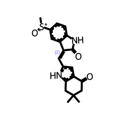 C[S+]([O-])c1ccc2c(c1)/C(=C/c1cc3c([nH]1)CC(C)(C)CC3=O)C(=O)N2